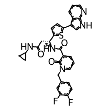 O=C(C[C@@H](NC(=O)c1cccn(Cc2ccc(F)c(F)c2)c1=O)c1ccc(-c2c[nH]c3ncccc23)s1)NC1CC1